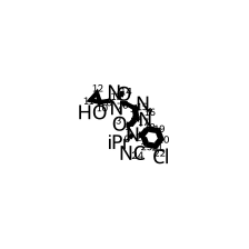 CC(C)n1c(=O)c2c(-c3nc(C4(O)CC4)no3)ncn2c2ccc(Cl)c(C#N)c21